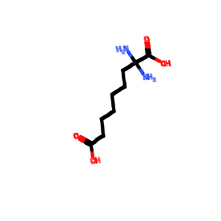 NC(N)(CCCCCCC(=O)O)C(=O)O